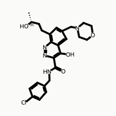 C[C@@H](O)CCc1cc(CN2CCOCC2)cc2c(O)c(C(=O)NCc3ccc(Cl)cc3)nnc12